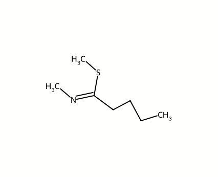 CCCCC(=NC)SC